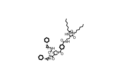 CCCCCCNC(=O)[C@@H](CCNC(=O)c1ccc(C(=O)N2C[C@@H](C(=O)N[C@H]3C[C@@H]3c3ccccc3)[C@H](C(=O)N[C@H]3C[C@@H]3c3ccccc3)C2)cc1)NC(=O)CCCCCC